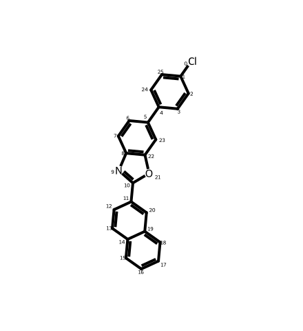 Clc1ccc(-c2ccc3nc(-c4ccc5ccccc5c4)oc3c2)cc1